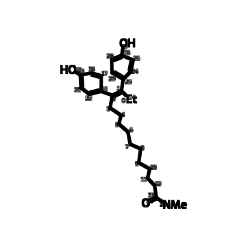 CCC(=C(CCCCCCCCCCC(=O)NC)c1ccc(O)cc1)c1ccc(O)cc1